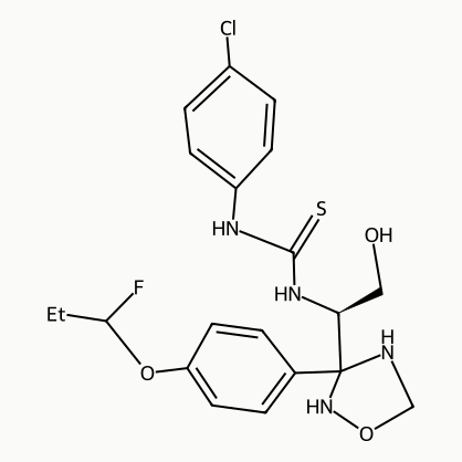 CCC(F)Oc1ccc(C2([C@H](CO)NC(=S)Nc3ccc(Cl)cc3)NCON2)cc1